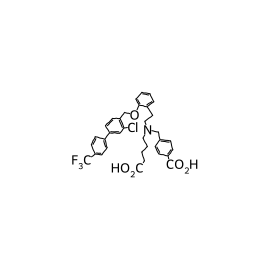 O=C(O)CCCCN(CCc1ccccc1OCc1ccc(-c2ccc(C(F)(F)F)cc2)cc1Cl)Cc1ccc(C(=O)O)cc1